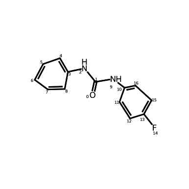 O=C(Nc1ccccc1)Nc1ccc(F)cc1